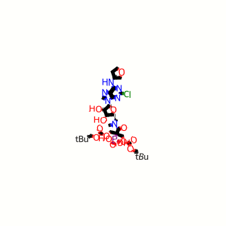 CN(C[C@H]1O[C@@H](n2cnc3c(N[C@H]4CCOC4)nc(Cl)nc32)[C@H](O)[C@@H]1O)C(=O)C(COC(=O)OCC(C)(C)C)(COC(=O)OCC(C)(C)C)P(=O)(O)O